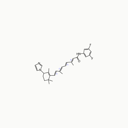 CC1=C(/C=C/C(C)=C/C=C/C(C)=C/C(=O)Nc2cc(F)cc(F)c2)C(C)(C)CCC1n1ccnc1